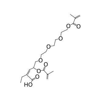 C=C(C)C(=O)OCCOCCOCCOCC(C=C(CC)C(=O)O)OC(=O)C(=C)C